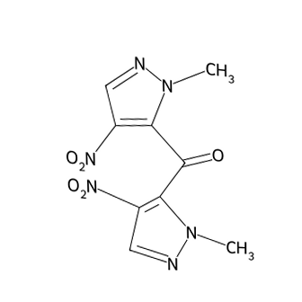 Cn1ncc([N+](=O)[O-])c1C(=O)c1c([N+](=O)[O-])cnn1C